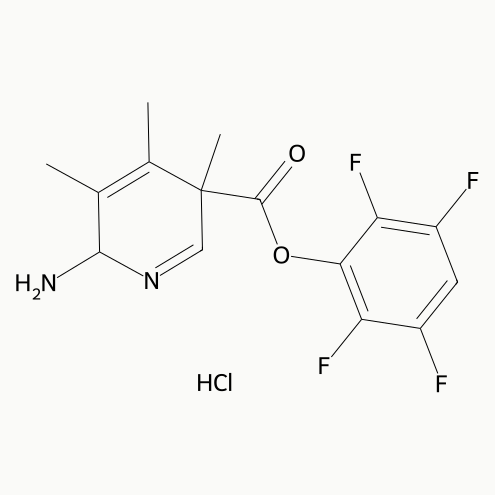 CC1=C(C)C(C)(C(=O)Oc2c(F)c(F)cc(F)c2F)C=NC1N.Cl